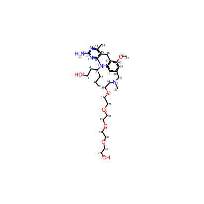 CCC[C@@H](CCO)Nc1nc(N)nc(C)c1Cc1ccc(CN(C)CCOCCOCCOCCOCCO)cc1OC